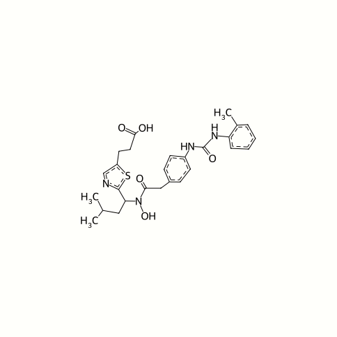 Cc1ccccc1NC(=O)Nc1ccc(CC(=O)N(O)C(CC(C)C)c2ncc(CCC(=O)O)s2)cc1